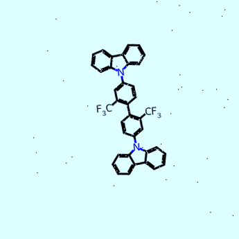 FC(F)(F)c1cc(-n2c3ccccc3c3ccccc32)ccc1-c1ccc(-n2c3ccccc3c3ccccc32)cc1C(F)(F)F